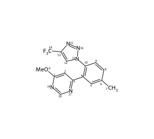 COc1cc(-c2cc(C)ccc2-n2cc(C(F)(F)F)nn2)ncn1